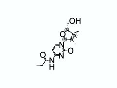 CCC(=O)Nc1ccn([C@@H]2O[C@H](CO)[C@@H](C)[C@@H]2C)c(=O)n1